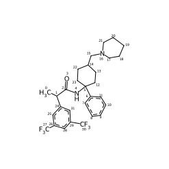 CC(C(=O)NC1(c2ccccc2)CCC(CN2CCCCC2)CC1)c1cc(C(F)(F)F)cc(C(F)(F)F)c1